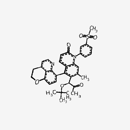 CC(=O)[C@@H](OC(C)(C)C)c1c(C)cc2c(ccc(=O)n2-c2cccc(S(C)(=O)=O)c2)c1-c1ccc2c3c(ccnc13)CCO2